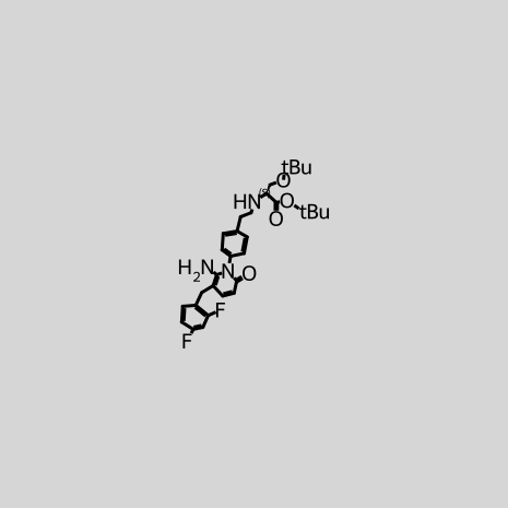 CC(C)(C)OC[C@H](NCCc1ccc(-n2c(N)c(Cc3ccc(F)cc3F)ccc2=O)cc1)C(=O)OC(C)(C)C